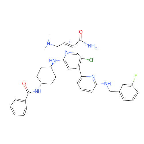 CN(C)C/C=C/C(N)=O.O=C(N[C@H]1CC[C@H](Nc2cc(-c3cccc(NCc4cccc(F)c4)n3)c(Cl)cn2)CC1)c1ccccc1